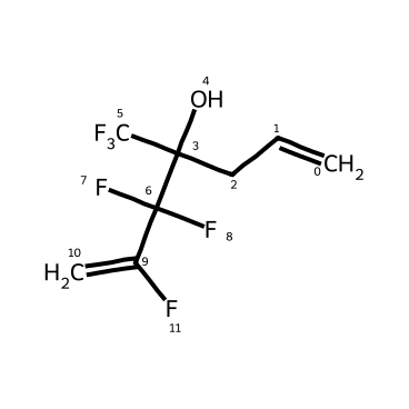 C=CCC(O)(C(F)(F)F)C(F)(F)C(=C)F